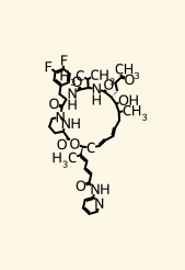 CC(=O)CC[C@H]1C(=O)NC(C(C)C)C(=O)NC(Cc2ccc(F)c(F)c2)C(=O)N2CCCC(N2)C(=O)O[C@H](/C(C)=C/C=C/C(=O)Nc2ccccn2)C/C=C/C=C/CC(C)C1O